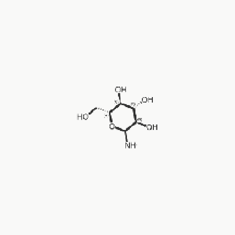 [NH]C1O[C@H](CO)[C@@H](O)[C@H](O)[C@H]1O